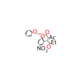 CCC(=O)C(c1cccc([N+](=O)[O-])c1)C(C(C)=O)C(=O)OCCOc1ccccc1